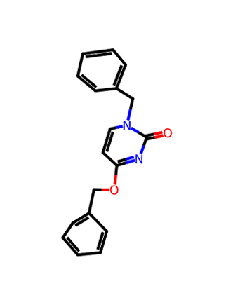 O=c1nc(OCc2ccccc2)ccn1Cc1ccccc1